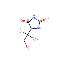 CC(C)(CO)C1NC(=O)NC1=O